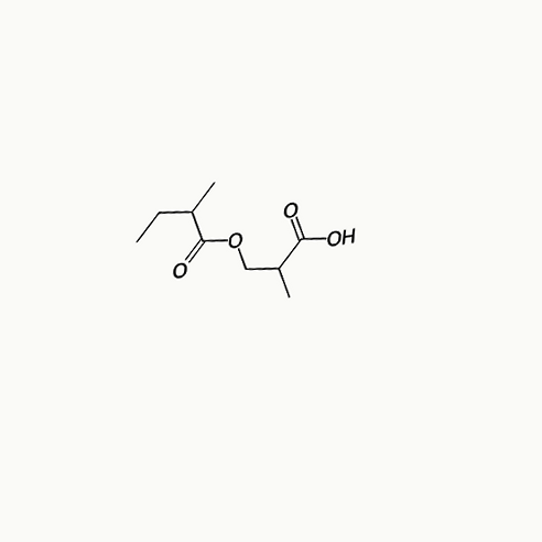 CCC(C)C(=O)OCC(C)C(=O)O